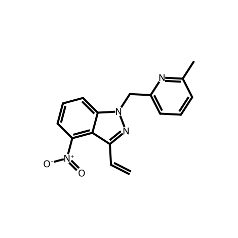 C=Cc1nn(Cc2cccc(C)n2)c2cccc([N+](=O)[O-])c12